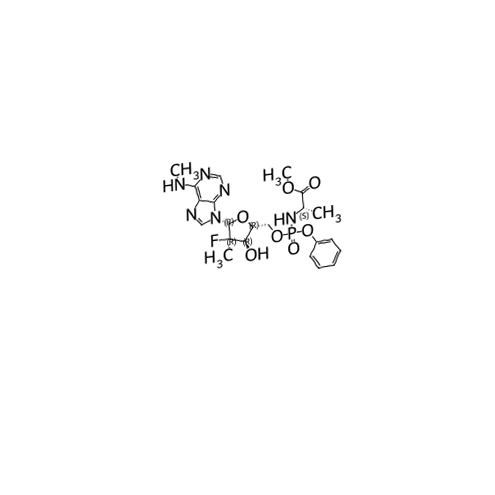 CNc1ncnc2c1ncn2[C@@H]1O[C@H](COP(=O)(N[C@@H](C)C(=O)OC)Oc2ccccc2)[C@@H](O)[C@@]1(C)F